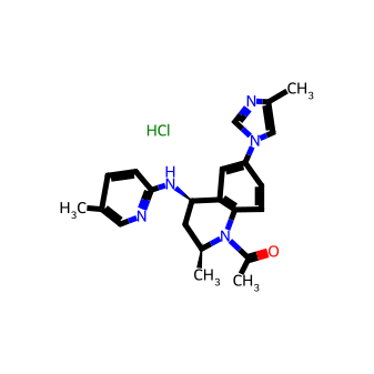 CC(=O)N1c2ccc(-n3cnc(C)c3)cc2[C@H](Nc2ccc(C)cn2)C[C@@H]1C.Cl